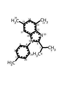 Cc1ccc(-n2c(C(C)C)nc3c(C)cc(C)cc32)cc1